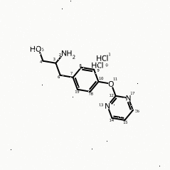 Cl.Cl.NC(CO)Cc1ccc(Oc2ncccn2)cc1